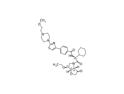 CCO[C@H]1CN(C(=O)[C@@H](NC(=O)c2ccc(-c3csc(N4CCN(CCOC)CC4)n3)cc2)C2CCCCC2)[C@@H]2C(=O)CO[C@H]12